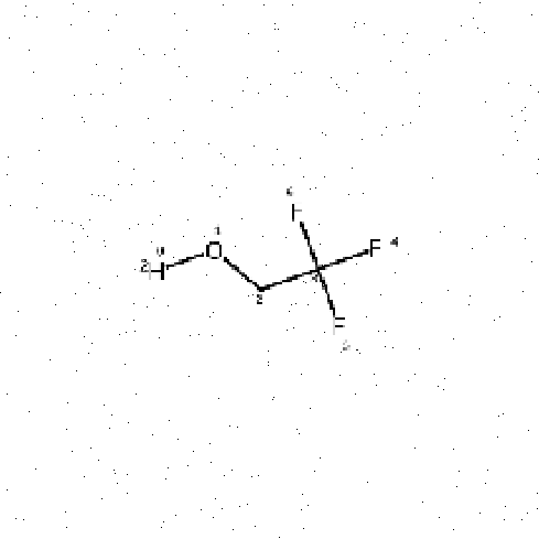 [2H]OCC(F)(F)F